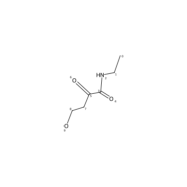 CCNC(=O)C(=O)CC[O]